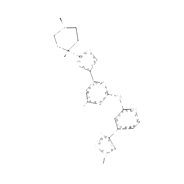 CCOC(=O)[C@H]1CC[C@](O)(c2ncc(-c3cc(C)cc(Nc4cc(-c5cn(C)nn5)ccn4)n3)s2)CC1